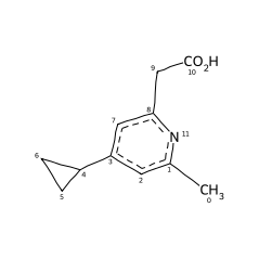 Cc1cc(C2CC2)cc(CC(=O)O)n1